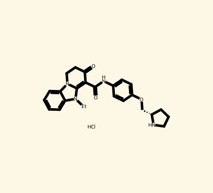 CCN1C2=C(C(=O)Nc3ccc(OC[C@@H]4CCCN4)cc3)C(=O)CCN2c2ccccc21.Cl